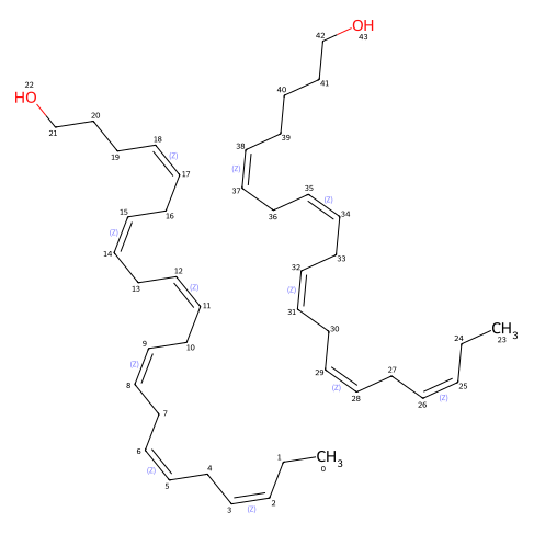 CC/C=C\C/C=C\C/C=C\C/C=C\C/C=C\C/C=C\CCCO.CC/C=C\C/C=C\C/C=C\C/C=C\C/C=C\CCCCO